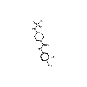 CC(C)(C)S(=O)(=O)NC1CCN(C(=O)Nc2ccc(C(F)(F)F)c(F)c2)CC1